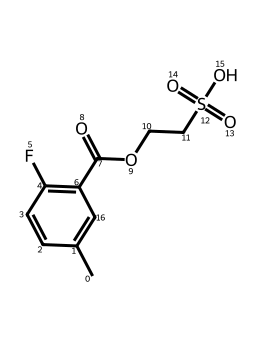 Cc1ccc(F)c(C(=O)OCCS(=O)(=O)O)c1